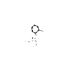 CC(C)OP(=O)(Oc1ccccc1C(C)C)OC(C)C